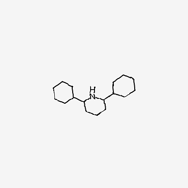 C1CCC(C2CCCC(C3CCCCC3)N2)CC1